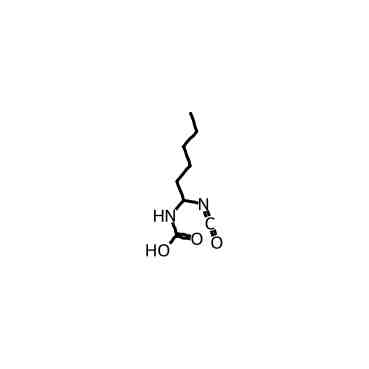 CCCCCC(N=C=O)NC(=O)O